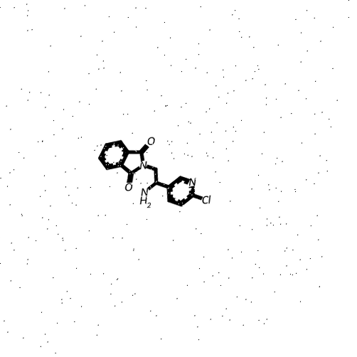 NC(CN1C(=O)c2ccccc2C1=O)c1ccc(Cl)nc1